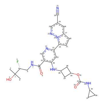 CC(C)(O)[C@H](F)CNC(=O)c1cnc(-c2ccc3cc(C#N)cnn23)cc1NC1CC(OC(=O)NC2CC2)C1